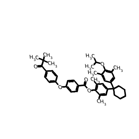 Cc1cc(C2(c3cc(C)c(OC(C)C)c(C)c3)CCCCC2)cc(C)c1OC(=O)c1ccc(Oc2ccc(C(=O)C(C)(C)C)cc2)cc1